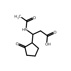 CC(=O)NC(CC(=O)O)C1CCCC1=O